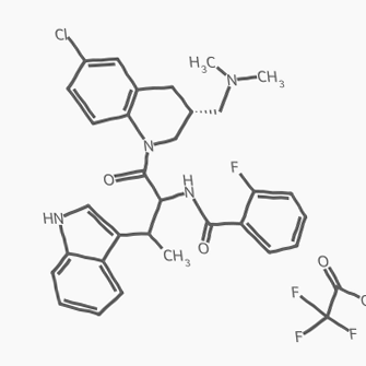 CC(c1c[nH]c2ccccc12)C(NC(=O)c1ccccc1F)C(=O)N1C[C@@H](CN(C)C)Cc2cc(Cl)ccc21.O=C(O)C(F)(F)F